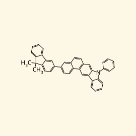 CC1(C)c2ccccc2-c2cc(-c3ccc4c(ccc5cc6c(cc54)c4ccccc4n6-c4ccccc4)c3)ccc21